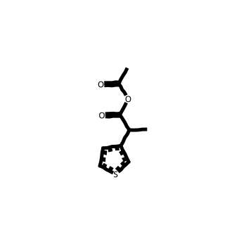 CC(=O)OC(=O)C(C)c1ccsc1